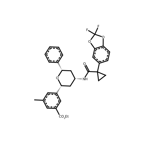 CCOC(=O)c1cc(C)cc([C@H]2C[C@@H](NC(=O)C3(c4ccc5c(c4)OC(F)(F)O5)CC3)C[C@@H](c3ccccc3)O2)c1